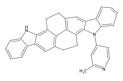 Cc1cc(-n2c3ccccc3c3cc4c5c(c32)CCc2cc3c([nH]c6ccccc63)c(c2-5)CC4)ccn1